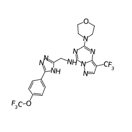 FC(F)(F)Oc1ccc(-c2nnc(CNc3nc(N4CCOCC4)nc4c(C(F)(F)F)cnn34)[nH]2)cc1